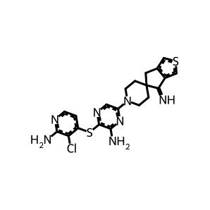 N=C1c2cscc2CC12CCN(c1cnc(Sc3ccnc(N)c3Cl)c(N)n1)CC2